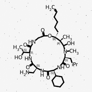 C=CCCCC[C@H]1OC(=O)CNC(=O)[C@H]([C@H](C)O)NC(=O)[C@H](CN)NC(=O)[C@H](C2CCCCC2)NC(=O)[C@H](CC(C)C)N(C)C(O)[C@@H]1C